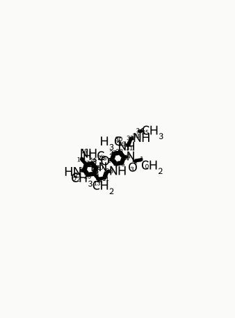 C=CC(=O)Nc1cc(N/C(N)=C/C(=C)c2ccc(C=N)c(NC)c2)c(OC)cc1N(C)CCNCC